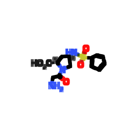 NCC(=O)N1C[C@H](NS(=O)(=O)c2ccccc2)C[C@H]1C(=O)O